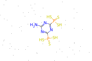 Nc1nc(P(=S)(S)S)nc(P(=S)(S)S)n1